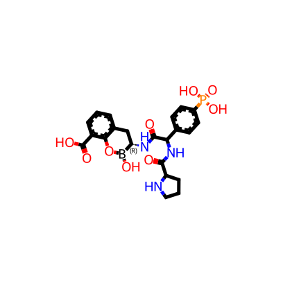 O=C(O)c1cccc2c1OB(O)[C@@H](NC(=O)C(NC(=O)C1CCCN1)c1ccc(P(=O)(O)O)cc1)C2